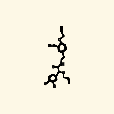 C#CCOc1ccc(CCNC(=O)C(OCC=C)c2ccc(Cl)c(Cl)c2)cc1OC